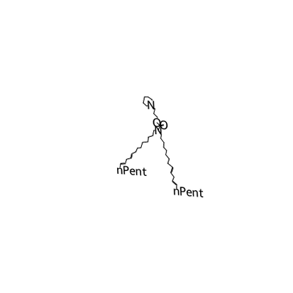 CCCCCC=CCC=CCCCCCCCCN(CCCCCCCCC=CCC=CCCCCC)C(=O)OCCCN1CCCCC1